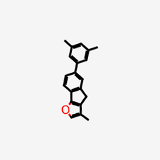 Cc1cc(C)cc(-c2ccc3c(c2)Cc2c(C)coc2-3)c1